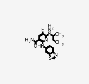 CCC(C)N(N)c1nc(Nc2ccc3ncsc3c2)c(C(N)=O)cc1F